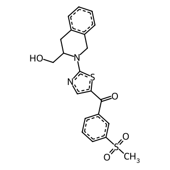 CS(=O)(=O)c1cccc(C(=O)c2cnc(N3Cc4ccccc4CC3CO)s2)c1